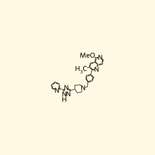 COc1nccc2nc(-c3ccc(CN4CCC(c5n[nH]c(-c6ccccn6)n5)CC4)cc3)c(C)cc12